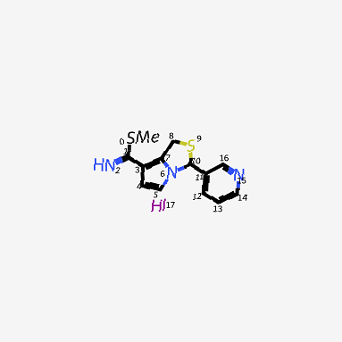 CSC(=N)c1ccn2c1CSC2c1cccnc1.I